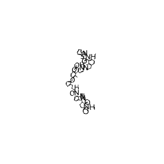 Cc1c(Oc2ccccc2CCCC(=O)Nc2cccc3c(C4CCC(=O)NC4=O)nn(C)c23)cccc1-c1ccc(N2CCc3cccc(C(=O)Nc4nc5ccccc5s4)c3C2)nc1C(=O)O